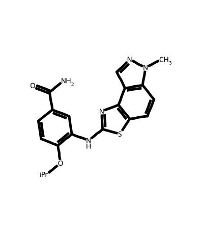 CC(C)Oc1ccc(C(N)=O)cc1Nc1nc2c(ccc3c2cnn3C)s1